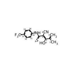 C=C(C)/C(O)=C(\C#N)C(=S)Nc1ccc(C(F)(F)F)cc1